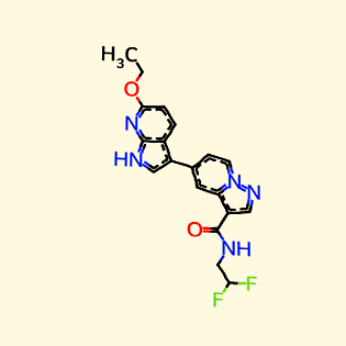 CCOc1ccc2c(-c3ccn4ncc(C(=O)NCC(F)F)c4c3)c[nH]c2n1